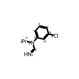 CC(C)N(C=N)c1cccc(Cl)c1